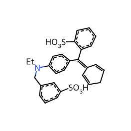 CCN(Cc1cccc(S(=O)(=O)O)c1)c1ccc(C(=C2C=CCC=C2)c2ccccc2S(=O)(=O)O)cc1